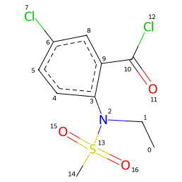 CCN(c1ccc(Cl)cc1C(=O)Cl)S(C)(=O)=O